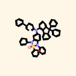 C=C(/C=C\C(=C/C)c1ccccc1)N(c1ccc2c(c1)N(c1ccccc1)P(=O)(c1ccccc1)N2c1ccccc1)c1cccc2c1-c1ccccc1C2(c1ccccc1)c1ccccc1